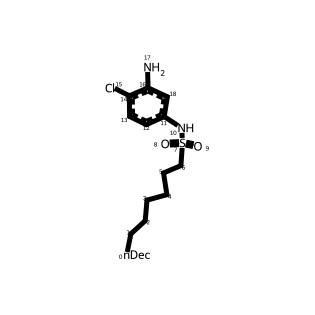 CCCCCCCCCCCCCCCCS(=O)(=O)Nc1ccc(Cl)c(N)c1